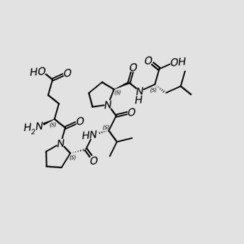 CC(C)C[C@H](NC(=O)[C@@H]1CCCN1C(=O)[C@@H](NC(=O)[C@@H]1CCCN1C(=O)[C@@H](N)CCC(=O)O)C(C)C)C(=O)O